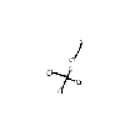 ClC(Cl)(Cl)Cl.ClI